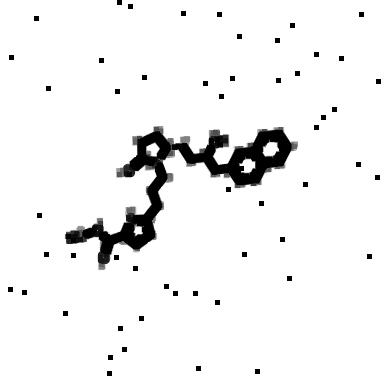 CC(C)(C)OC(=O)c1ccc(CCCN2C(=O)CC[C@@H]2CCC(O)Cc2ccc3ccccc3c2)s1